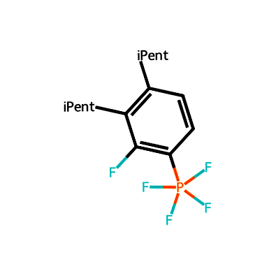 CCCC(C)c1ccc(P(F)(F)(F)F)c(F)c1C(C)CCC